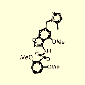 COc1cccc(OC)c1S(=O)(=O)Nc1noc2cc(Cn3nccc3C)cc(OC)c12